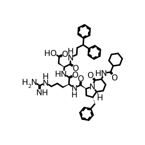 N=C(N)NCCC[C@H](NC(=O)[C@@H]1C[C@@H](Cc2ccccc2)[C@@H]2CCC(NC(=O)C3CCCCC3)C(=O)N12)C(=O)N[C@@H](CC(=O)O)C(=O)NCCC(c1ccccc1)c1ccccc1